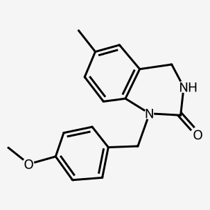 COc1ccc(CN2C(=O)NCc3cc(C)ccc32)cc1